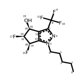 CCCCCn1nc(C(F)(F)F)c2c1[C@@H](F)[C@@H](F)[C@H]2O